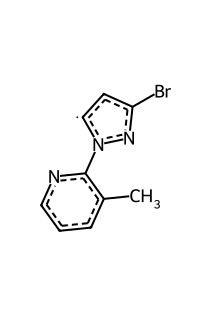 Cc1cccnc1-n1[c]cc(Br)n1